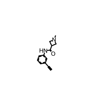 C#Cc1cccc(NC(=O)C2CN(C)C2)c1